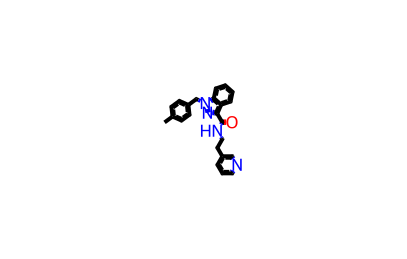 Cc1ccc(Cn2nc(C(=O)NCCc3cccnc3)c3ccccc32)cc1